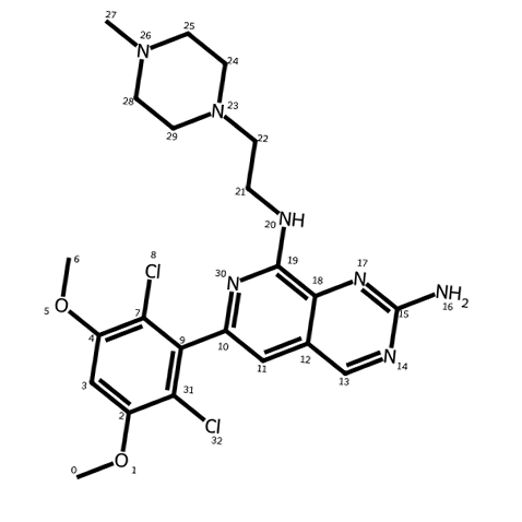 COc1cc(OC)c(Cl)c(-c2cc3cnc(N)nc3c(NCCN3CCN(C)CC3)n2)c1Cl